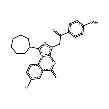 COc1ccc(C(=O)Cn2nc(N3CCCCCC3)n3c4ccc(Cl)cc4c(=O)nc23)cc1